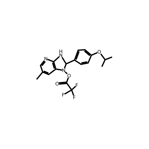 Cc1cnc2c(c1)N(OC(=O)C(F)(F)F)C(c1ccc(OC(C)C)cc1)N2